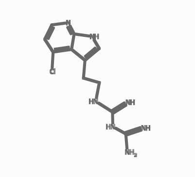 N=C(N)NC(=N)NCCc1c[nH]c2nccc(Cl)c12